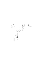 NS(=O)(=O)c1cc2nc(C(=O)NC3CCS(=O)(=O)C3)c(-c3ccccc3Cl)c(-c3ccc(C(F)(F)F)cc3)n2n1